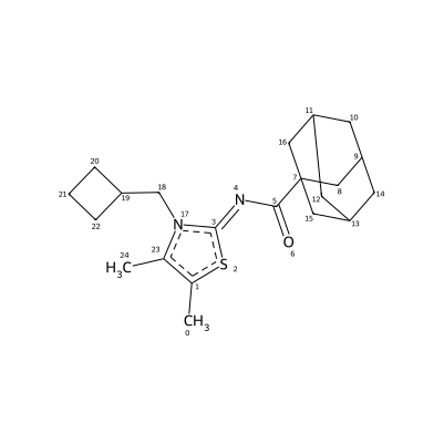 Cc1sc(=NC(=O)C23CC4CC(CC(C4)C2)C3)n(CC2CCC2)c1C